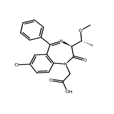 CO[C@H](C)[C@@H]1N=C(c2ccccc2)c2cc(Cl)ccc2N(CC(=O)O)C1=O